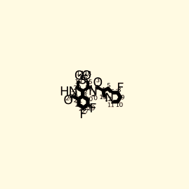 CN(C(=O)c1cc2c(F)cccn2c1)[C@H]1CS(=O)(=O)Cc2[nH]c(=O)c3cc(F)c(F)cc3c21